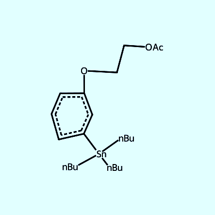 CCC[CH2][Sn]([CH2]CCC)([CH2]CCC)[c]1cccc(OCCOC(C)=O)c1